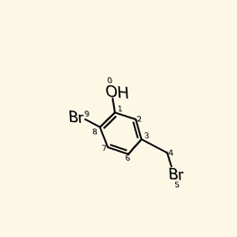 Oc1cc(CBr)ccc1Br